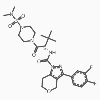 CN(C)S(=O)(=O)N1CCN(C(=O)[C@@H](NC(=O)n2nc(-c3ccc(F)c(F)c3)c3c2CCOC3)C(C)(C)C)CC1